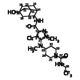 CN(c1c(Cl)c(C(=O)NC2C3CC4CC2CC(O)(C4)C3)nn1C)C1CCN(C(=O)NCC(F)(F)F)CC1